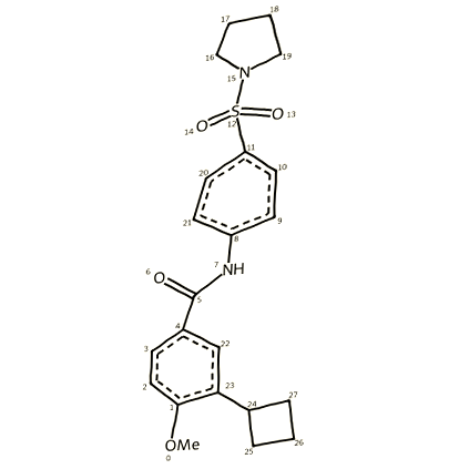 COc1ccc(C(=O)Nc2ccc(S(=O)(=O)N3CCCC3)cc2)cc1C1CCC1